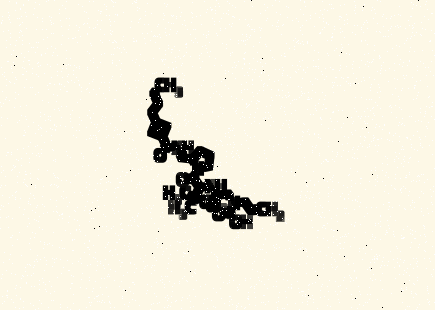 C=CCN(CC(=O)NC(C(=O)N1CCCC1CNC(=O)C1CC(CCCC)C1)C(C)(C)C)C(=O)O